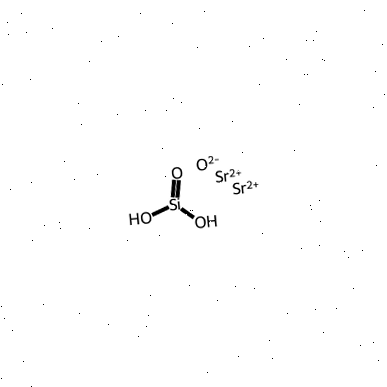 O=[Si](O)O.[O-2].[Sr+2].[Sr+2]